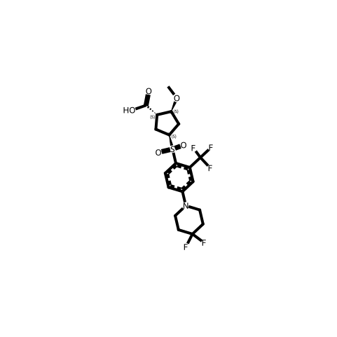 CO[C@H]1C[C@@H](S(=O)(=O)c2ccc(N3CCC(F)(F)CC3)cc2C(F)(F)F)C[C@@H]1C(=O)O